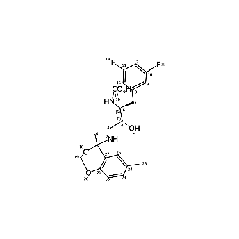 CC1(NC[C@@H](O)[C@H](Cc2cc(F)cc(F)c2)NC(=O)O)CCOc2ccc(I)cc21